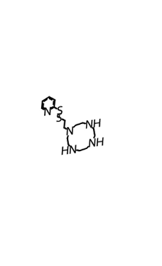 c1ccc(SSCCN2CCNCCNCCNCC2)nc1